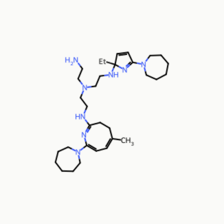 CCC1(NCCN(CCN)CCN/C2=N/C(N3CCCCCC3)=C\C=C(\C)CC2)C=CC(N2CCCCCC2)=N1